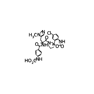 Cn1cncc1C[C@H](NC(=O)c1ccc(NC(=O)O)cc1)C(=O)N1CCC[C@@]2(C1)OC(=O)Nc1ccc(Cl)cc12